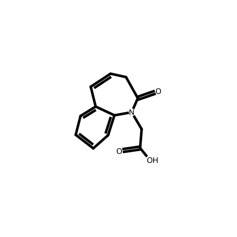 O=C(O)CN1C(=O)CC=Cc2ccccc21